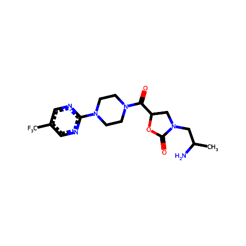 CC(N)CN1CC(C(=O)N2CCN(c3ncc(C(F)(F)F)cn3)CC2)OC1=O